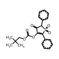 CC(C)(C)COC(=O)OC1=C(c2ccccc2)S(=O)(=O)C(c2ccccc2)C1=O